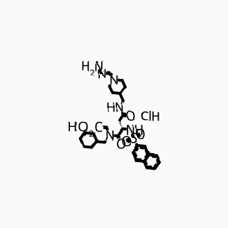 Cl.NN=CN1CCC(CNC(=O)C[C@H](NS(=O)(=O)c2ccc3ccccc3c2)C(=O)N(CC(=O)O)CC2CCCCC2)CC1